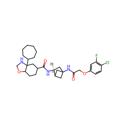 O=C(COc1ccc(Cl)c(F)c1)NC12CC(C1)[C@@H](NC(=O)C1CCC3OCNC3(C3CCCCCC3)C1)C2